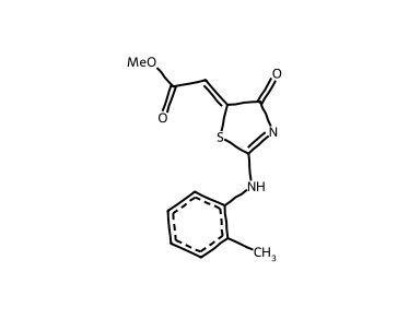 COC(=O)/C=C1\SC(Nc2ccccc2C)=NC1=O